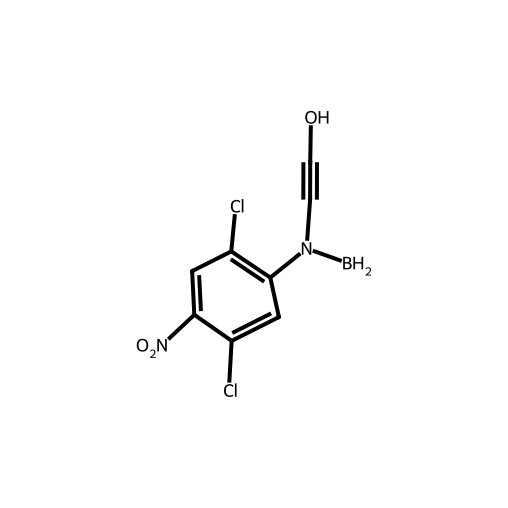 BN(C#CO)c1cc(Cl)c([N+](=O)[O-])cc1Cl